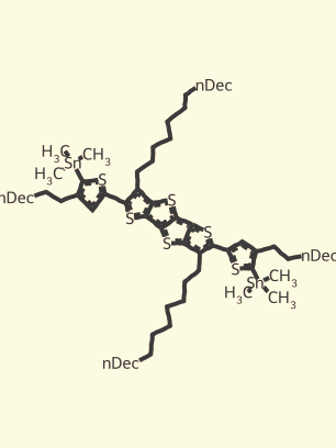 CCCCCCCCCCCCCCCCCc1c(-c2cc(CCCCCCCCCCCC)[c]([Sn]([CH3])([CH3])[CH3])s2)sc2c1sc1c3sc(-c4cc(CCCCCCCCCCCC)[c]([Sn]([CH3])([CH3])[CH3])s4)c(CCCCCCCCCCCCCCCCC)c3sc21